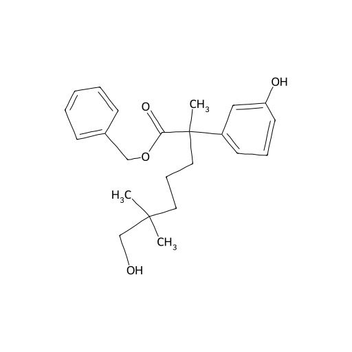 CC(C)(CO)CCCC(C)(C(=O)OCc1ccccc1)c1cccc(O)c1